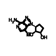 Nc1ncc(Cl)c2c1ncn2[C@@H]1CC[C@@H](O)[C@H]1O